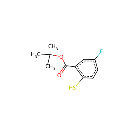 CC(C)(C)OC(=O)c1cc(F)ccc1S